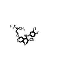 CN(C)CCOc1cc2c(Nc3ccc(F)c(Cl)c3)c(C#N)cnc2cn1